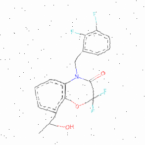 CC(O)c1cccc2c1OC(F)(F)C(=O)N2Cc1cccc(F)c1F